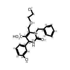 O=C(O)C1=C(COCCCl)N(Cc2ccccc2)C(=O)NC1c1cccc(Cl)c1